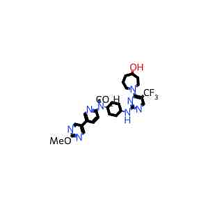 COc1ncc(-c2ccc(N(C(=O)O)[C@H]3CC[C@H](Nc4ncc(C(F)(F)F)c(N5CCCC(O)CC5)n4)CC3)nc2)cn1